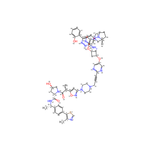 Cc1ncsc1-c1ccc([C@H](C)NC(=O)[C@@H]2C[C@@H](O)CN2C(=O)[C@H](c2cc(N3CCN(CC#Cc4ncc(OC5CC(Oc6cc(N7C8CC[C@@H]7CN(c7cc(-c9ccccc9O)nnc7N)C8)ccn6)C5)cn4)CC3)no2)C(C)C)cc1